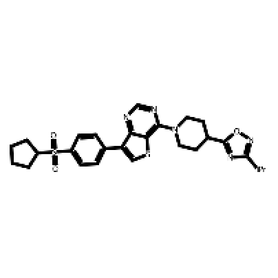 CC(C)c1noc(C2CCN(c3ncnc4c(-c5ccc(S(=O)(=O)C6CCCC6)cc5)csc34)CC2)n1